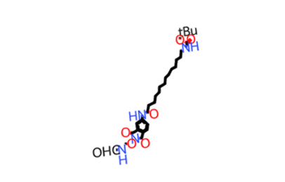 CC(C)(C)OC(=O)NCCCCCCCCCCCCCC(=O)Nc1ccc2c(c1)C(=O)N(OCNC=O)C2=O